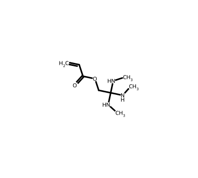 C=CC(=O)OCC(NC)(NC)NC